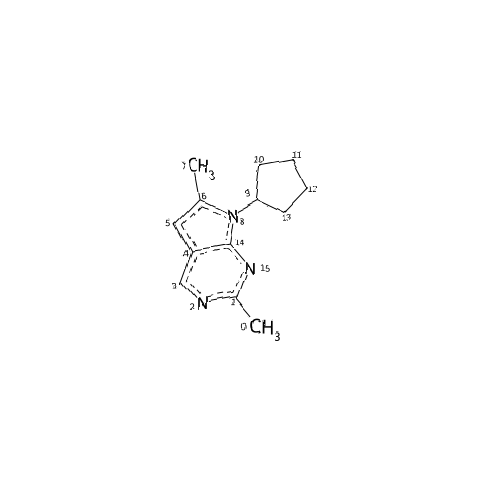 Cc1ncc2cc(C)n(C3CCCC3)c2n1